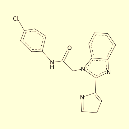 O=C(Cn1c(C2=CCC=N2)nc2ccccc21)Nc1ccc(Cl)cc1